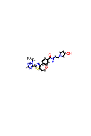 O=C(NCCN1CC[C@H](O)C1)c1ccc2c(c1)OCCc1sc(-c3ncnn3CC(F)(F)F)nc1-2